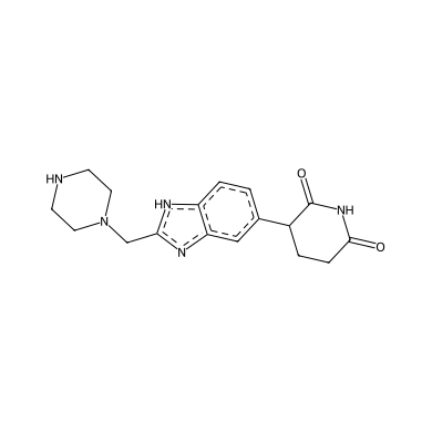 O=C1CCC(c2ccc3[nH]c(CN4CCNCC4)nc3c2)C(=O)N1